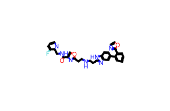 O=C(NCc1ncccc1F)c1coc(CCNCCc2nc3cc(-c4ccccc4-c4ncco4)ccc3[nH]2)n1